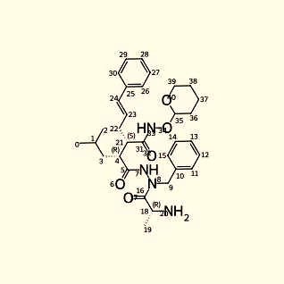 CC(C)C[C@@H](C(=O)NN(Cc1ccccc1)C(=O)[C@@H](C)N)[C@H](CC=Cc1ccccc1)C(=O)NOC1CCCCO1